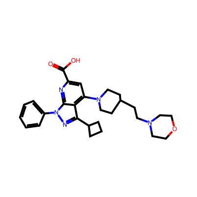 O=C(O)c1cc(N2CCC(CCN3CCOCC3)CC2)c2c(C3CCC3)nn(-c3ccccc3)c2n1